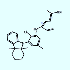 C=C/C(=C\C=C(/C)C(C)(C)C)Nc1cc(C)cc(N2c3ccccc3C3(C)CCCCC23C)c1Cl